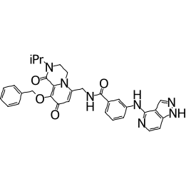 CC(C)N1CCn2c(CNC(=O)c3cccc(Nc4nccc5[nH]ncc45)c3)cc(=O)c(OCc3ccccc3)c2C1=O